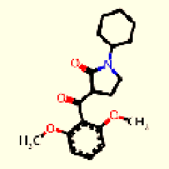 COc1cccc(OC)c1C(=O)C1CCN(C2CCCCC2)C1=O